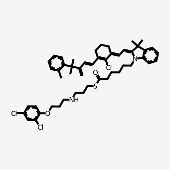 C=C(/C=C/C1=C(Cl)C(=C/C=C2\N(CCCCCC(=O)SCCCNCCCOc3ccc(Cl)cc3Cl)c3ccccc3C2(C)C)/CCC1)C(C)(C)c1ccccc1C